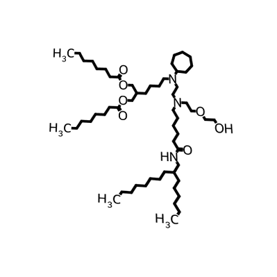 CCCCCCCCC(CCCCCC)CNC(=O)CCCCCN(CCOCCO)CCN(CCCCC(COC(=O)CCCCCCC)COC(=O)CCCCCCC)C1CCCCCC1